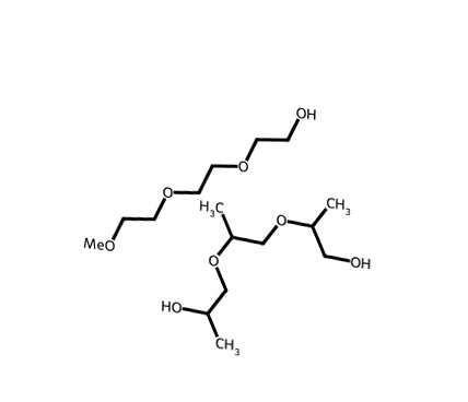 CC(O)COC(C)COC(C)CO.COCCOCCOCCO